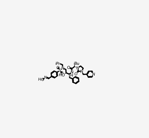 CC[C@H](C)[C@@H](C(=O)N[C@@H](Cc1ccccc1)[C@H](O)CN(CC(C)C)S(=O)(=O)c1ccc(/C=N/O)cc1)N1CCN(Cc2ccncc2)C1=O